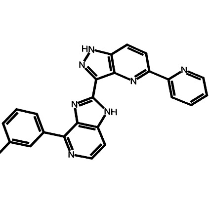 Fc1cccc(-c2nccc3[nH]c(-c4n[nH]c5ccc(-c6ccccn6)nc45)nc23)c1